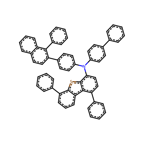 c1ccc(-c2ccc(N(c3ccc(-c4ccc5ccccc5c4-c4ccccc4)cc3)c3ccc(-c4ccccc4)c4c3sc3c(-c5ccccc5)cccc34)cc2)cc1